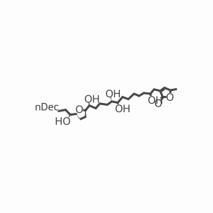 CCCCCCCCCCCC[C@@H](O)[C@H]1CC[C@H]([C@H](O)CCC[C@H](O)[C@H](O)CCCCCC(O)CC2=CC(C)OC2=O)O1